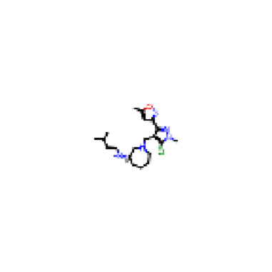 Cc1cc(-c2nn(C)c(Cl)c2CN2CCCC[C@@H](NCCC(C)C)C2)no1